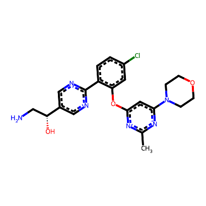 Cc1nc(Oc2cc(Cl)ccc2-c2ncc([C@H](O)CN)cn2)cc(N2CCOCC2)n1